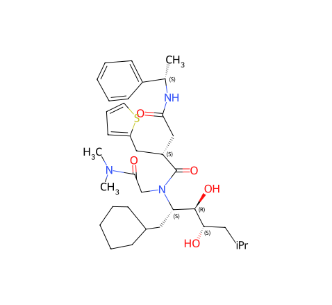 CC(C)C[C@H](O)[C@H](O)[C@H](CC1CCCCC1)N(CC(=O)N(C)C)C(=O)[C@@H](CC(=O)N[C@@H](C)c1ccccc1)Cc1cccs1